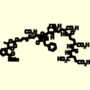 CNC(=O)C1CCCN1C(=O)[C@@H](C)OC(=O)OCCSSC[C@H](NC(=O)C(Cc1ccccc1)NC(=O)[C@H](CC(=O)O)NC(=O)CC[C@H](NC(=O)CC[C@H](NC(=S)NC(CCC(=O)O)C(=O)O)C(=O)O)C(=O)O)C(=O)O